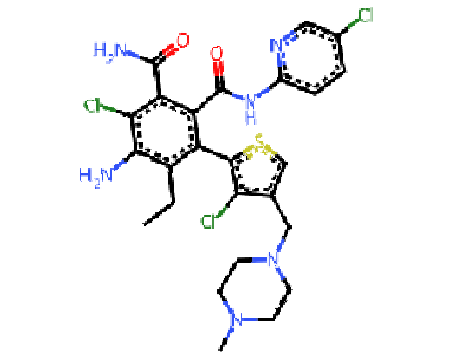 CCc1c(N)c(Cl)c(C(N)=O)c(C(=O)Nc2ccc(Cl)cn2)c1-c1scc(CN2CCN(C)CC2)c1Cl